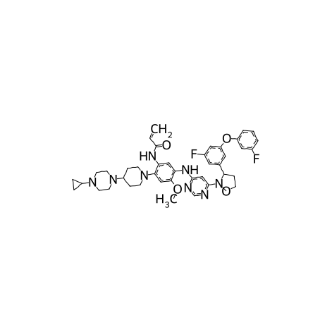 C=CC(=O)Nc1cc(Nc2cc(N3OCCC3c3cc(F)cc(Oc4cccc(F)c4)c3)ncn2)c(OC)cc1N1CCC(N2CCN(C3CC3)CC2)CC1